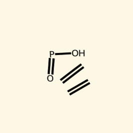 C=C.C=C.O=PO